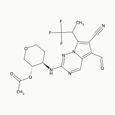 CC(=O)O[C@@H]1COCC[C@H]1Nc1ncc2c(C=O)c(C#N)c(C(C)C(F)(F)F)n2n1